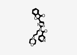 O=C1c2ccccc2OC1c1csc(N(CCCN2CCOCC2)C(=O)c2cccnc2)n1